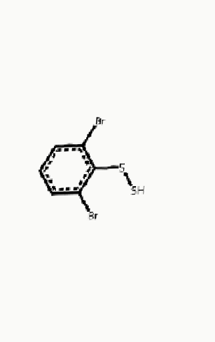 SSc1c(Br)cccc1Br